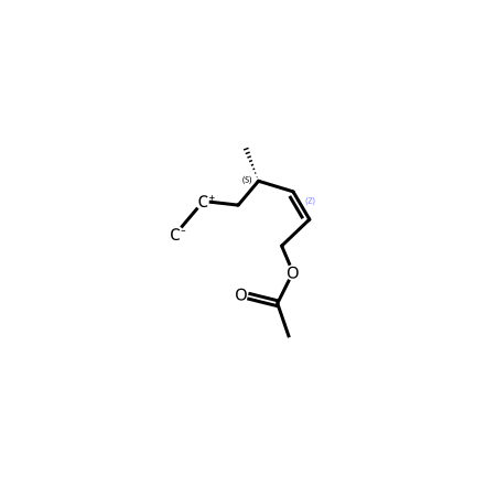 [CH2-][CH+]C[C@H](C)/C=C\COC(C)=O